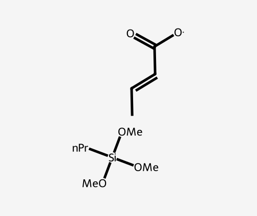 CC=CC([O])=O.CCC[Si](OC)(OC)OC